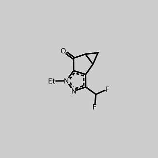 CCn1nc(C(F)F)c2c1C(=O)C1CC21